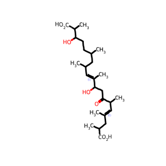 C/C(=C\C(C)C(=O)CC(O)/C(C)=C/C(C)CC(C)CCC(O)C(C)C(=O)O)CC(C)C(=O)O